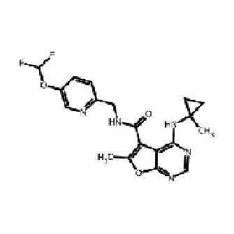 Cc1oc2ncnc(NC3(C)CC3)c2c1C(=O)NCc1ccc(OC(F)F)cn1